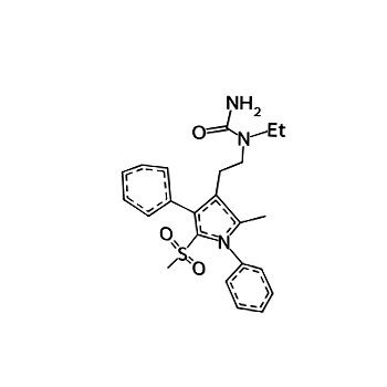 CCN(CCc1c(-c2ccccc2)c(S(C)(=O)=O)n(-c2ccccc2)c1C)C(N)=O